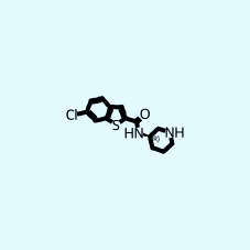 O=C(N[C@@H]1CCCNC1)c1cc2ccc(Cl)cc2s1